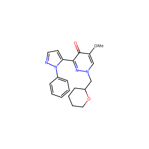 COc1cn(CC2CCCCO2)nc(-c2ccnn2-c2ccccc2)c1=O